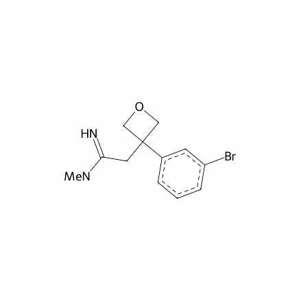 CNC(=N)CC1(c2cccc(Br)c2)COC1